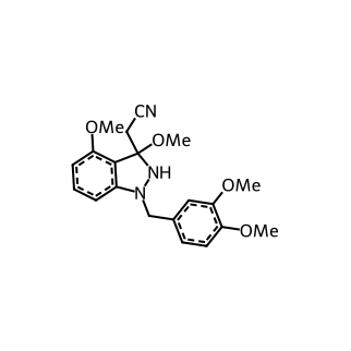 COc1ccc(CN2NC(CC#N)(OC)c3c(OC)cccc32)cc1OC